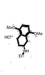 CCN[C@H]1CCc2c(OC)ccc(OC)c2C1.Cl